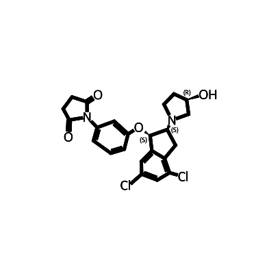 O=C1CCC(=O)N1c1cccc(O[C@H]2c3cc(Cl)cc(Cl)c3C[C@@H]2N2CC[C@@H](O)C2)c1